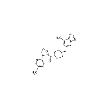 Cc1cnc([C@@H]2CCON2C(=O)[C@H]2CC[C@H](Cc3cc(C)c4ncnn4c3)CC2)cn1